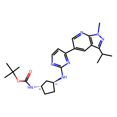 CC(C)c1nn(C)c2ncc(-c3ccnc(N[C@H]4CC[C@H](NC(=O)OC(C)(C)C)C4)n3)cc12